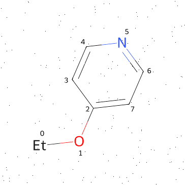 CCOc1ccncc1